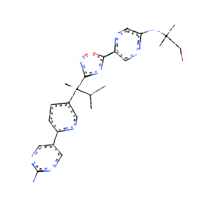 CC(C)[C@](C)(c1ccc(-c2cnc(N)nc2)nc1)c1noc(-c2cnc(NC(C)(C)CO)cn2)n1